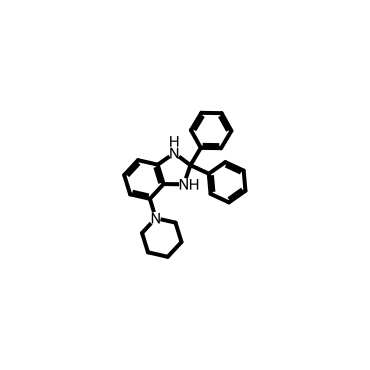 c1ccc(C2(c3ccccc3)Nc3cccc(N4CCCCC4)c3N2)cc1